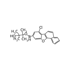 CC(C)(O)C(C)(C)OBc1cc(Cl)c2c(c1)oc1c3ccccc3ccc12